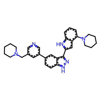 c1cc(N2CCCCC2)c2cc(-c3n[nH]c4ccc(-c5cncc(CN6CCCCC6)c5)cc34)[nH]c2c1